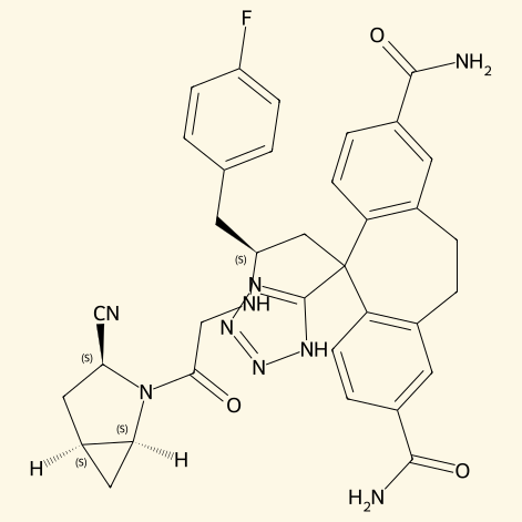 N#C[C@@H]1C[C@@H]2C[C@@H]2N1C(=O)CN[C@@H](Cc1ccc(F)cc1)CC1(c2nnn[nH]2)c2ccc(C(N)=O)cc2CCc2cc(C(N)=O)ccc21